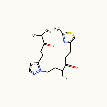 Cc1nc(CCC(=O)C(C)CCn2nccc2CCC(=O)C(C)C)cs1